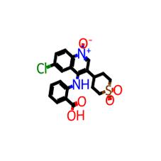 O=C(O)c1ccccc1Nc1c(C2CCS(=O)(=O)CC2)c[n+]([O-])c2ccc(Cl)cc12